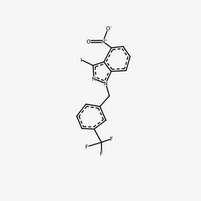 O=[N+]([O-])c1cccc2c1c(I)nn2Cc1cccc(C(F)(F)F)c1